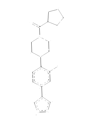 O=C(C1CCCC1)N1CCC(c2ccc(-c3cn[nH]c3)cc2F)CC1